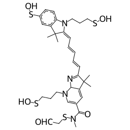 CN(SCC=O)C(=O)C1=CN(CCCSO)C2N=C(/C=C/C=C/C=C3/N(CCCSO)c4ccc(SO)cc4C3(C)C)C(C)(C)C2=C1